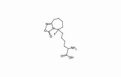 NC(CCCCC1(F)CCCCc2noc(=O)n21)C(=O)O